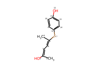 C/C(O)=C\C=C(/C)Sc1ccc(O)cc1